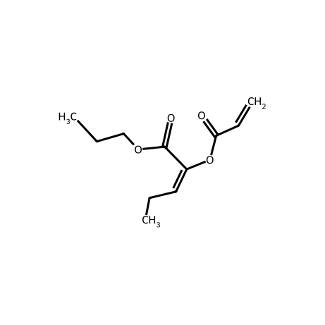 C=CC(=O)OC(=CCC)C(=O)OCCC